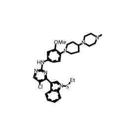 CCSn1cc(-c2nc(Nc3ccc(N4CCC(N5CCN(C)CC5)CC4)c(OC)c3)ncc2Cl)c2ccccc21